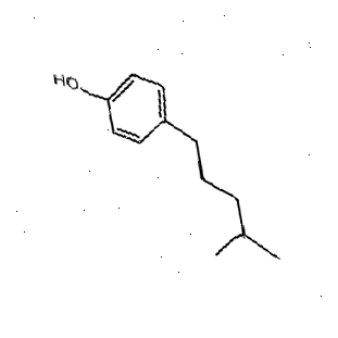 C[C](C)CCCc1ccc(O)cc1